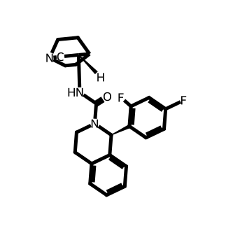 O=C(N[C@@H]1CN2CCC1CC2)N1CCc2ccccc2[C@@H]1c1ccc(F)cc1F